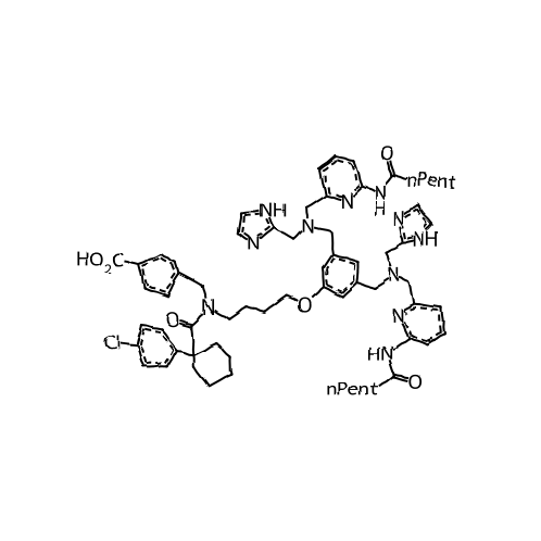 CCCCCC(=O)Nc1cccc(CN(Cc2cc(CN(Cc3cccc(NC(=O)CCCCC)n3)Cc3ncc[nH]3)cc(OCCCCN(Cc3ccc(C(=O)O)cc3)C(=O)C3(c4ccc(Cl)cc4)CCCCC3)c2)Cc2ncc[nH]2)n1